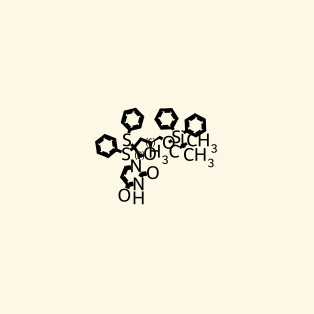 CC(C)(C)[Si](OC[C@@H]1CC(Sc2ccccc2)(Sc2ccccc2)[C@H](n2ccc(=O)[nH]c2=O)O1)(c1ccccc1)c1ccccc1